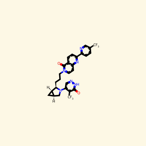 O=c1[nH]ncc(N2C[C@H]3C[C@H]3[C@H]2CCCn2ccc3nc(-c4ccc(C(F)(F)F)cn4)ccc3c2=O)c1C(F)(F)F